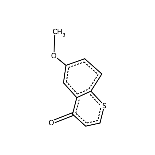 COc1ccc2sccc(=O)c2c1